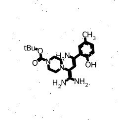 Cc1ccc(O)c(/C(N)=C/C(=C(N)N)N2CCN(C(=O)OC(C)(C)C)CC2)c1